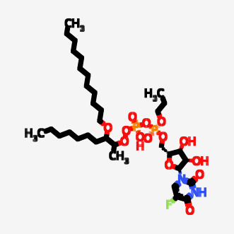 CCCCCCCCCCCCOC(CCCCCCC)C(C)OOP(=O)(O)OP(=O)(OCCC)OC[C@H]1O[C@@H](n2cc(F)c(=O)[nH]c2=O)[C@H](O)[C@@H]1O